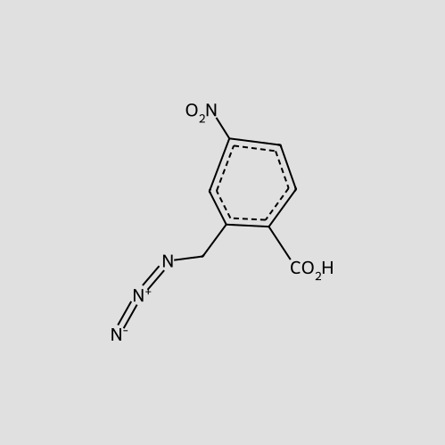 [N-]=[N+]=NCc1cc([N+](=O)[O-])ccc1C(=O)O